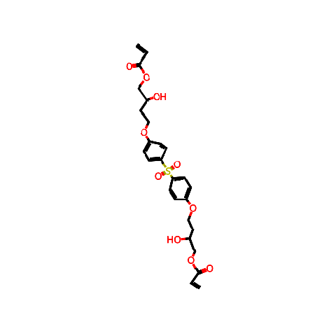 C=CC(=O)OCC(O)CCOc1ccc(S(=O)(=O)c2ccc(OCCC(O)COC(=O)C=C)cc2)cc1